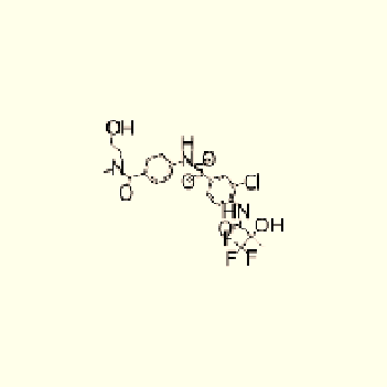 CN(CCO)C(=O)c1ccc(NS(=O)(=O)c2ccc(NC(=O)[C@@](C)(O)C(F)(F)F)c(Cl)c2)cc1